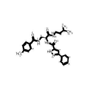 Cc1ccc(C(=O)NC[C@H](NC(=O)c2cc(-c3ccccc3)n[nH]2)C(=O)N[CH]CC(C)C)cc1